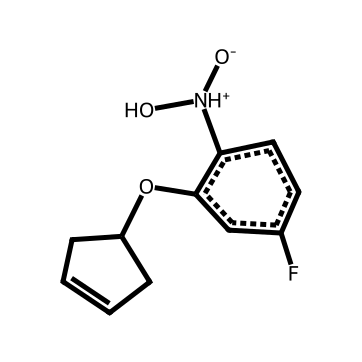 [O-][NH+](O)c1ccc(F)cc1OC1CC=CC1